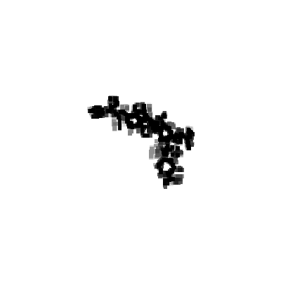 Cn1c(Nc2c(Cl)ccc(CNC(=O)C(C)(C)C)c2Cl)nc2cc(C(=O)NC3CCC(C(F)F)CC3)c(OCC(F)F)cc21